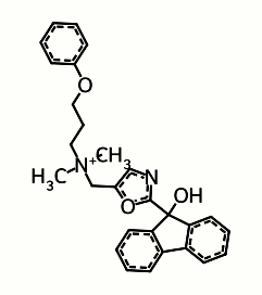 C[N+](C)(CCCOc1ccccc1)Cc1cnc(C2(O)c3ccccc3-c3ccccc32)o1